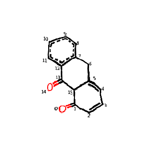 O=C1C=CC=C2Cc3ccccc3C(=O)C12